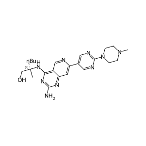 CCCC[C@](C)(CO)Nc1nc(N)nc2cc(-c3cnc(N4CCN(C)CC4)nc3)ncc12